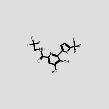 COc1cc(C(=O)NCC(F)(F)F)nc(-c2ccc(C(F)(F)F)s2)c1O